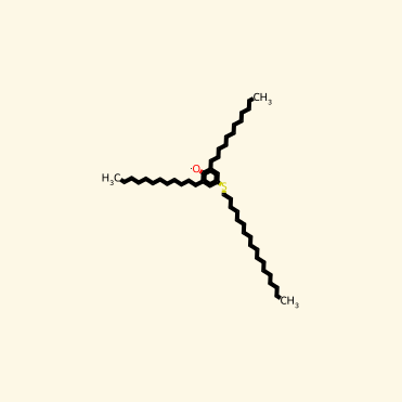 CCCCCCCCCCCCCCCCCCSc1cc(CCCCCCCCCCCC)c([O])c(CCCCCCCCCCCC)c1